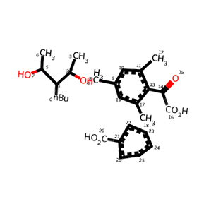 CCCCC(C(C)O)C(C)O.Cc1cc(C)c(C(=O)C(=O)O)c(C)c1.O=C(O)c1ccccc1